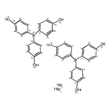 Br.Br.Oc1cc[c]([Bi]([c]2ccc(O)cc2)[c]2ccc(O)cc2)cc1.Oc1cc[c]([Bi]([c]2ccc(O)cc2)[c]2ccc(O)cc2)cc1